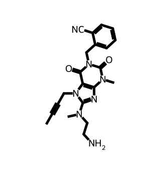 CC#CCn1c(N(C)CCN)nc2c1c(=O)n(Cc1ccccc1C#N)c(=O)n2C